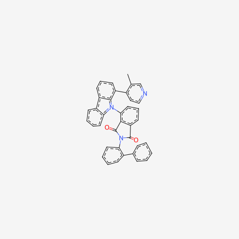 Cc1cnccc1-c1cccc2c3ccccc3n(-c3cccc4c3C(=O)N(c3ccccc3-c3ccccc3)C4=O)c12